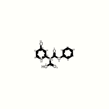 O=C(O)N(C(=O)Oc1ccccc1)c1cc(Cl)ccn1